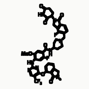 COc1cc(C(=O)NC2CCN(Cc3ccc4c(c3F)CN(C3CCC(=O)NC3=O)C4=O)CC2)c(F)cc1Nc1ncc(C(F)(F)F)c(Oc2cccc3c2C(=O)N(C)C3)n1